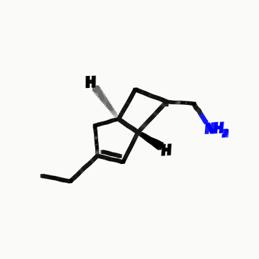 CCC1=C[C@H]2[C](CN)C[C@@H]2C1